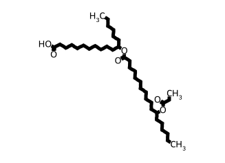 CCCCCCC(CCCCCCCCCCC(=O)OC(CCCCCC)CCCCCCCCCCC(=O)O)OC(=O)CC